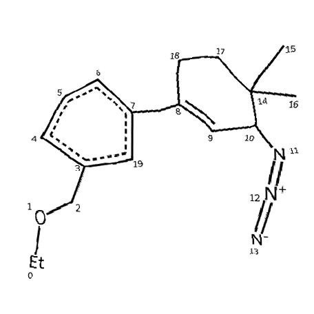 [CH2]COCc1cccc(C2=CC(N=[N+]=[N-])C(C)(C)CC2)c1